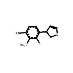 Nc1ccc(C2C=CSC2)c(F)c1C(=O)O